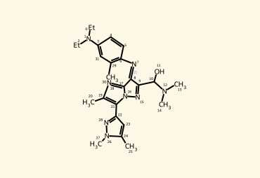 CCN(CC)c1ccc(/N=C2/C(C(O)N(C)C)=Nn3c2nc(C)c3-c2cc(C)n(C)n2)c(C)c1